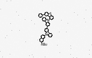 CCCCc1ccc2ccc(-n3c4ccccc4c4cc(-c5ccc6c(c5)c5ccccc5n6-c5cccc6sc7ccc(-c8ccccc8)cc7c56)ccc43)cc2c1